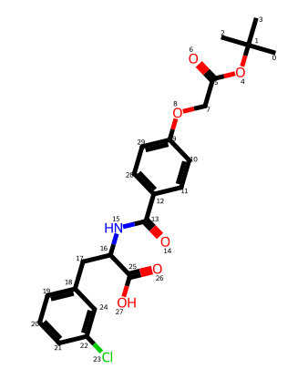 CC(C)(C)OC(=O)COc1ccc(C(=O)NC(Cc2cccc(Cl)c2)C(=O)O)cc1